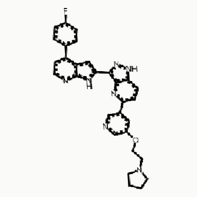 Fc1ccc(-c2ccnc3[nH]c(-c4n[nH]c5ccc(-c6cncc(OCCN7CCCC7)c6)nc45)cc23)cc1